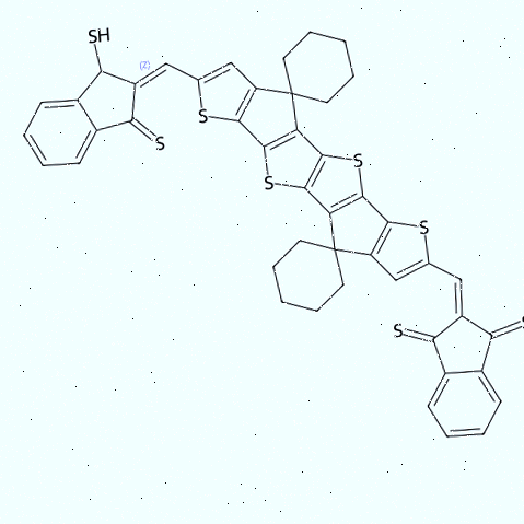 S=C1C(=Cc2cc3c(s2)-c2sc4c5c(sc4c2C32CCCCC2)-c2sc(/C=C3\C(=S)c4ccccc4C3S)cc2C52CCCCC2)C(=S)c2ccccc21